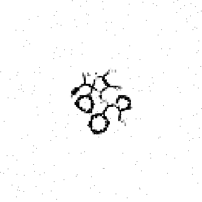 CC(C#N)C1(c2ccccc2)NC(O)=C(O)N1C.Cc1nccn1Cc1ccccc1